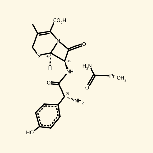 CC(C)C(N)=O.CC1=C(C(=O)O)N2C(=O)[C@@H](NC(=O)[C@H](N)c3ccc(O)cc3)[C@H]2SC1.O